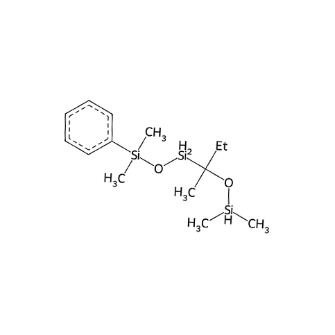 CCC(C)(O[SiH](C)C)[SiH2]O[Si](C)(C)c1ccccc1